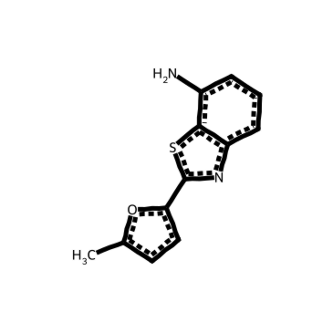 Cc1ccc(-c2nc3cccc(N)c3s2)o1